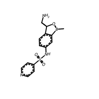 CB1OC(CN)c2ccc(NS(=O)(=O)c3ccncc3)cc21